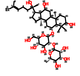 CC/C(C)=C/CC[C@](C)(O)C1CC[C@]2(C)C3C[C@@H](O[C@@H]4O[C@H](CO)[C@@H](O)[C@H](O)[C@H]4O[C@@H]4O[C@@H](C)[C@H](O)[C@@H](O)[C@H]4O)C4C(C)(C)C(O)CC[C@]4(C)C3C[C@H](O)C12